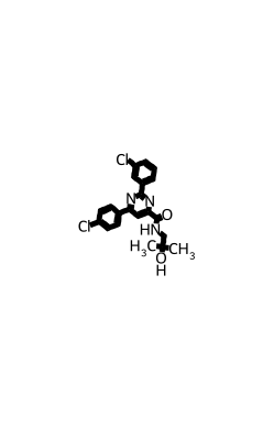 CC(C)(O)CNC(=O)c1cc(-c2ccc(Cl)cc2)nc(-c2cccc(Cl)c2)n1